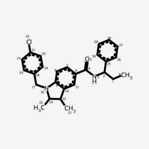 CCC(NC(=O)c1ccc2c(c1)C(C)C(C)N2Cc1ccc(Cl)cc1)c1ccccc1